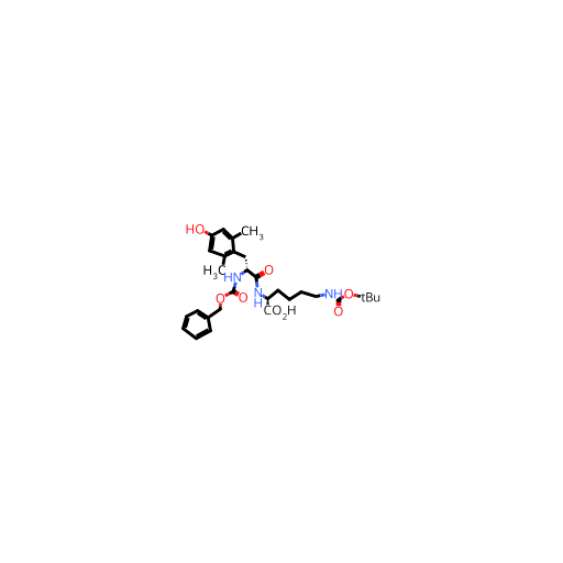 Cc1cc(O)cc(C)c1C[C@@H](NC(=O)OCc1ccccc1)C(=O)N[C@@H](CCCCNC(=O)OC(C)(C)C)C(=O)O